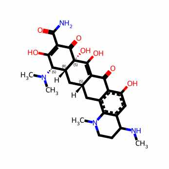 CNC1CCN(C)c2c1cc(O)c1c2C[C@@H]2C[C@@H]3[C@H](N(C)C)C(O)=C(C(N)=O)C(=O)[C@@]3(O)C(O)=C2C1=O